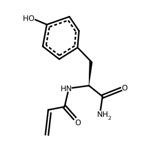 C=CC(=O)N[C@@H](Cc1ccc(O)cc1)C(N)=O